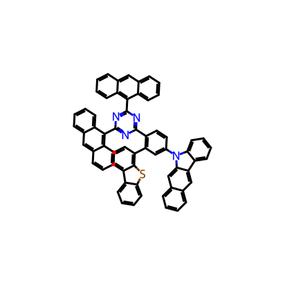 c1ccc2cc3c(cc2c1)c1ccccc1n3-c1ccc(-c2nc(-c3c4ccccc4cc4ccccc34)nc(-c3c4ccccc4cc4ccccc34)n2)c(-c2cccc3c2sc2ccccc23)c1